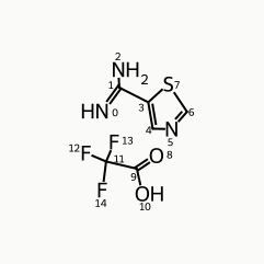 N=C(N)c1cncs1.O=C(O)C(F)(F)F